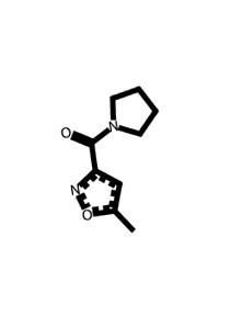 Cc1cc(C(=O)N2CCCC2)no1